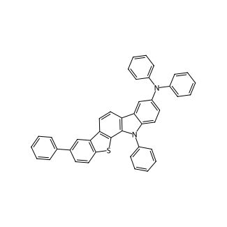 c1ccc(-c2ccc3sc4c(ccc5c6cc(N(c7ccccc7)c7ccccc7)ccc6n(-c6ccccc6)c54)c3c2)cc1